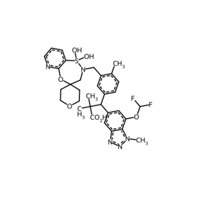 Cc1ccc(C(c2cc(OC(F)F)c3c(c2)nnn3C)C(C)(C)C(=O)O)cc1CN1CC2(CCOCC2)Oc2ncccc2S1(O)O